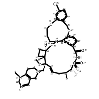 CO[C@@]1(CN2CCC3=C(C=NCN3C)C2)/C=C/C[C@H](C)[C@@H](C)S(=O)(=O)NC(=O)c2ccc3c(c2)N(CCCCc2cc(Cl)ccc2CO3)C[C@@H]2CC[C@H]21